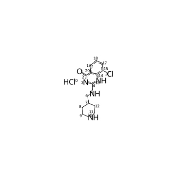 Cl.O=c1nc(NCC2CCNCC2)[nH]c2c(Cl)cccc12